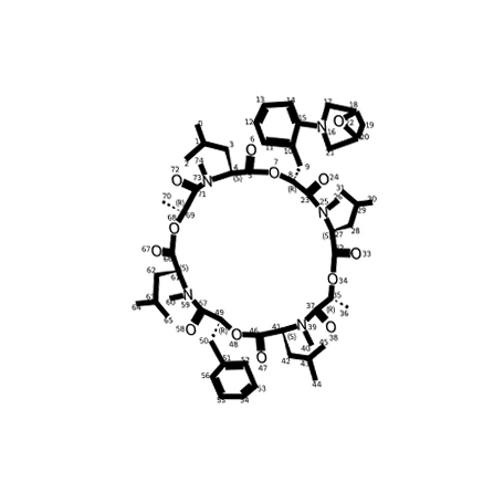 CC(C)C[C@H]1C(=O)O[C@H](Cc2ccccc2N2CC3CC(C2)O3)C(=O)N(C)[C@@H](CC(C)C)C(=O)O[C@H](C)C(=O)N(C)[C@@H](CC(C)C)C(=O)O[C@H](Cc2ccccc2)C(=O)N(C)[C@@H](CC(C)C)C(=O)O[C@H](C)C(=O)N1C